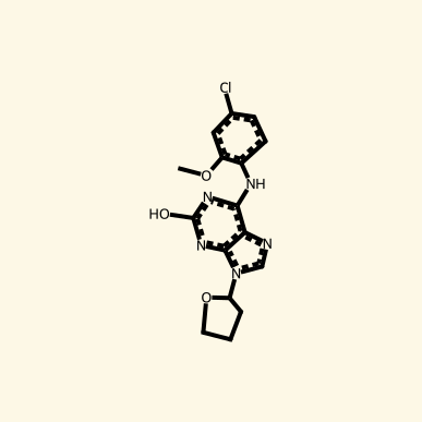 COc1cc(Cl)ccc1Nc1nc(O)nc2c1ncn2C1CCCO1